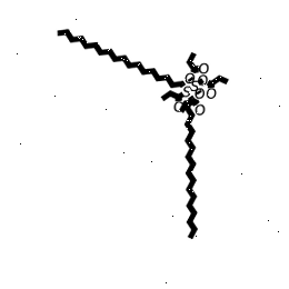 CCCCCCCCCCCCCCCCCCS(CCCCCCCCCCCCCCCCCC)(C(=O)CC)S(OC(=O)CC)(OC(=O)CC)OC(=O)CC